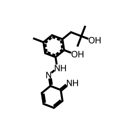 Cc1cc(CC(C)(C)O)c(O)c(N/N=C2/C=CC=CC2=N)c1